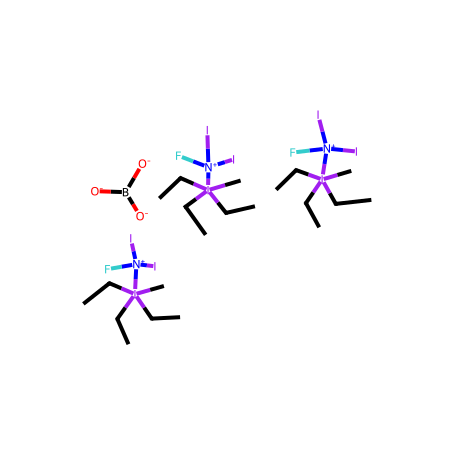 CCI(C)(CC)(CC)[N+](F)(I)I.CCI(C)(CC)(CC)[N+](F)(I)I.CCI(C)(CC)(CC)[N+](F)(I)I.[O-]B([O-])[O-]